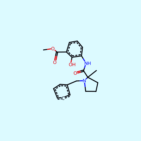 COC(=O)c1cccc(NC(=O)C2(C)CCCN2Cc2ccccc2)c1O